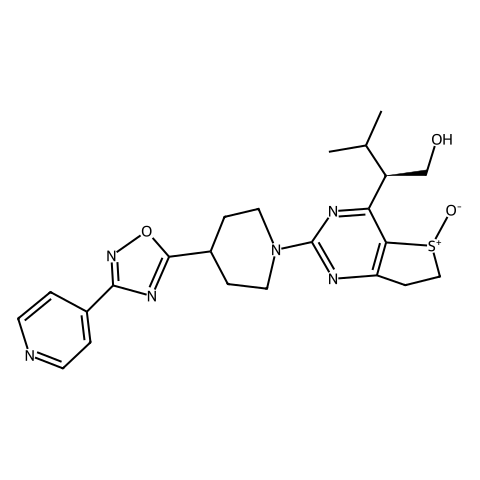 CC(C)[C@@H](CO)c1nc(N2CCC(c3nc(-c4ccncc4)no3)CC2)nc2c1[S+]([O-])CC2